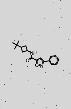 CC(C)(C)C1CC(NC(=O)c2cc(-c3ccccc3)no2)C1